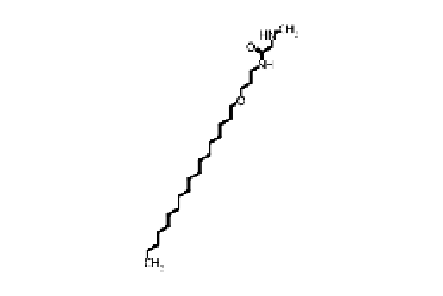 CCCCCCCCCCCCCCCCCCOCCCNC(=O)CNC